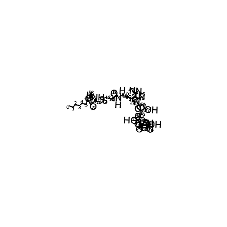 CCCCCCNC(=O)C(CSSCCC(=O)NCC#Cc1cn(C2CC(O)C(COP(=O)(O)OP(=O)(O)OP(=O)(O)O)O2)c2ncnc(N)c12)NC(C)=O